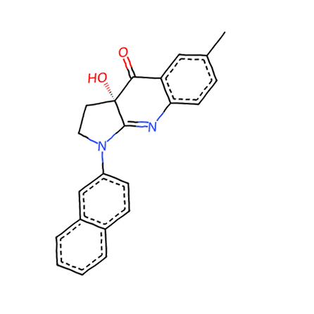 Cc1ccc2c(c1)C(=O)[C@]1(O)CCN(c3ccc4ccccc4c3)C1=N2